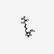 CN(C)C(=O)NCCCSc1ncnn1C(C)(C)C